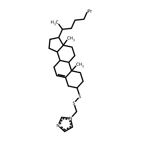 CC(C)CCCC(C)C1CCC2C3CC=C4CC(SSCn5ccnc5)CCC4(C)C3CCC12C